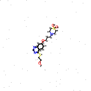 COCCSc1ncnc2cc(OCCCN3CCS(=O)(=O)CC3)ccc12